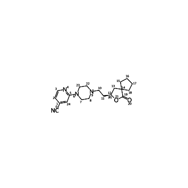 N#Cc1ccnc(N2CCN(CC[C@H]3CC4(CCCC4)C(=O)O3)CC2)c1